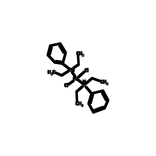 CC[PH](CC)(c1ccccc1)[Pd]([Cl])([Cl])[PH](CC)(CC)c1ccccc1